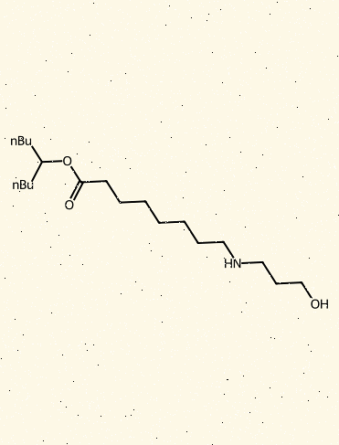 CCCCC(CCCC)OC(=O)CCCCCCCNCCCO